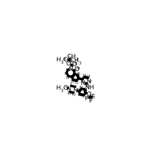 CN1CCN(c2ccc(OC(F)(F)F)c(Nc3nccc(-c4ccc5c(c4)C(=O)N(C(=O)OC(C)(C)C)CCC5)n3)c2)CC1